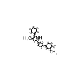 Cc1cc(-c2ccc(-c3nc(C)c(-c4ccccc4)[nH]3)o2)ccc1F